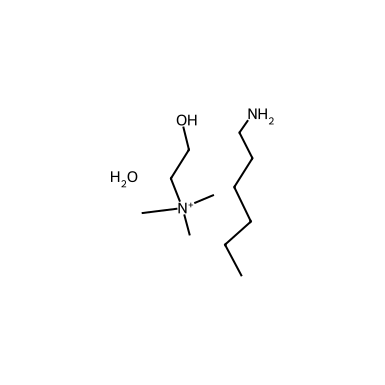 CCCCCCN.C[N+](C)(C)CCO.O